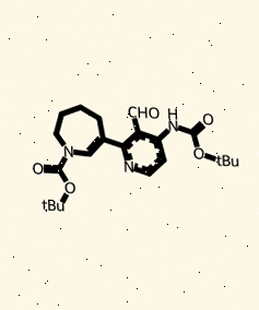 CC(C)(C)OC(=O)Nc1ccnc(C2=CN(C(=O)OC(C)(C)C)CCCC2)c1C=O